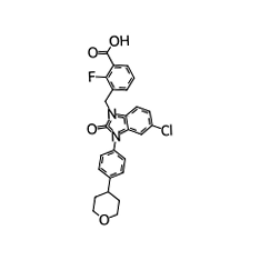 O=C(O)c1cccc(Cn2c(=O)n(-c3ccc(C4CCOCC4)cc3)c3cc(Cl)ccc32)c1F